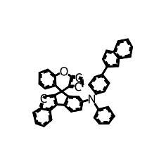 c1ccc(N(c2ccc(-c3ccc4ccccc4c3)cc2)c2ccc3c(c2)C2(c4ccccc4Oc4ccccc42)c2ccc4ccccc4c2-3)cc1